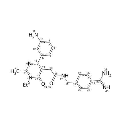 CCn1c(C)nc(-c2cccc(N)c2)c(CC(=O)NCc2ccc(C(=N)N)cc2)c1=O